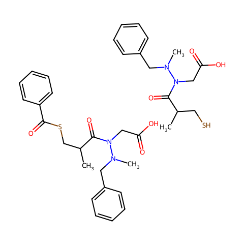 CC(CS)C(=O)N(CC(=O)O)N(C)Cc1ccccc1.CC(CSC(=O)c1ccccc1)C(=O)N(CC(=O)O)N(C)Cc1ccccc1